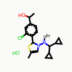 CCCN(C(C1CC1)C1CC1)N1C=C(C)SC1c1ccc(C(C)O)cc1Cl.Cl